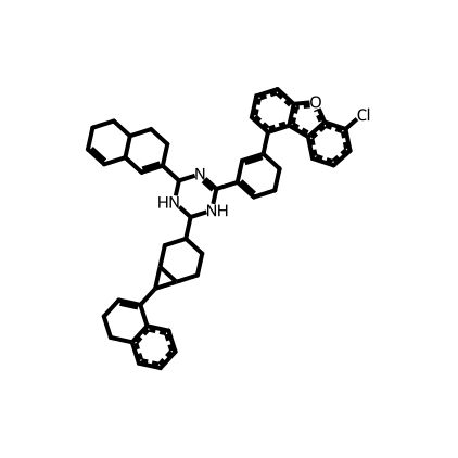 Clc1cccc2c1oc1cccc(C3=CC(C4=NC(C5=CC6C=CCCC6CC5)NC(C5CCC6C(C5)C6C5=CCCc6ccccc65)N4)=CCC3)c12